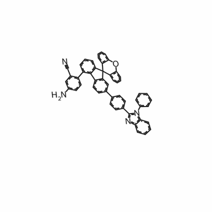 N#Cc1cc(N)ccc1-c1cccc2c1-c1ccc(-c3ccc(-c4nc5ccccc5n4-c4ccccc4)cc3)cc1C21c2ccccc2Oc2ccccc21